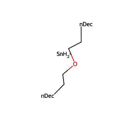 CCCCCCCCCCCCOCCCCCCCCCCCC.[SnH2]